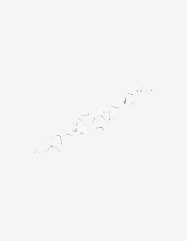 CCCCCCCCCc1ccc(/C=C/c2nc3ccc4c(ccc5nc(/C=C/c6ccc(CCCCCCCCC)cc6)oc54)c3o2)cc1